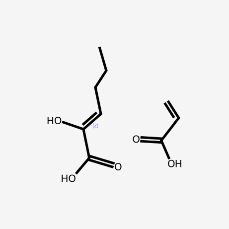 C=CC(=O)O.CCC/C=C(\O)C(=O)O